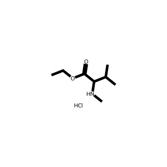 CCOC(=O)C(NC)C(C)C.Cl